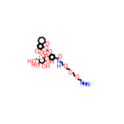 [N-]=[N+]=NCCOCCOCCOCCNC(=O)c1ccc(O[C@@H]2O[C@H](CO)[C@H](O)[C@H](O)[C@@H]2O)c(OC(=O)Oc2c3c(cc4c2C(=O)CCCC4)OCO3)c1